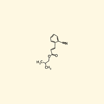 CC(C)COC(=O)/C=C/c1ccccc1C#N